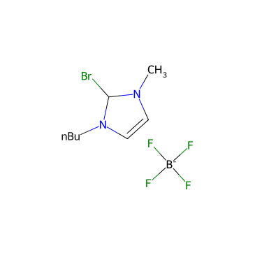 CCCCN1C=CN(C)C1Br.F[B-](F)(F)F